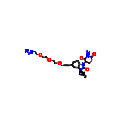 Cn1c(=O)n(C2CCC(=O)NC2=O)c2ccc(C#CCOCCOCCOCCN)cc21